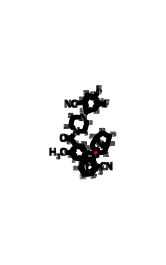 Cc1cc(C)c(C(=O)N2CCN(c3cc(F)c(F)cc3C#N)CC2)cc1CN1C2CCC1CN(c1ccccc1C#N)C2